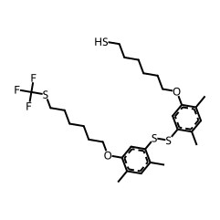 Cc1cc(C)c(SSc2cc(OCCCCCCSC(F)(F)F)c(C)cc2C)cc1OCCCCCCS